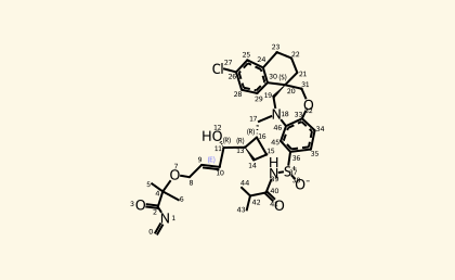 C=NC(=O)C(C)(C)OC/C=C/[C@H](O)[C@@H]1CC[C@H]1CN1C[C@@]2(CCCc3cc(Cl)ccc32)COc2ccc([S+]([O-])NC(=O)C(C)C)cc21